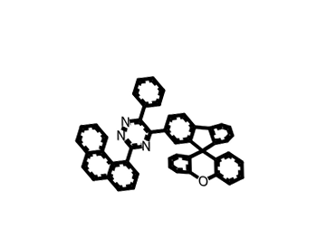 c1ccc(-c2nnc(-c3cccc4ccc5ccccc5c34)nc2-c2ccc3c(c2)C2(c4ccccc4Oc4ccccc42)c2ccccc2-3)cc1